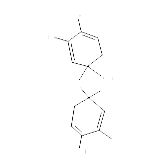 CC(C)(C)C1=CC(SC2(C(C)(C)C)C=C(C(C)(C)C)C(O)=CC2)(C(C)(C)C)CC=C1O